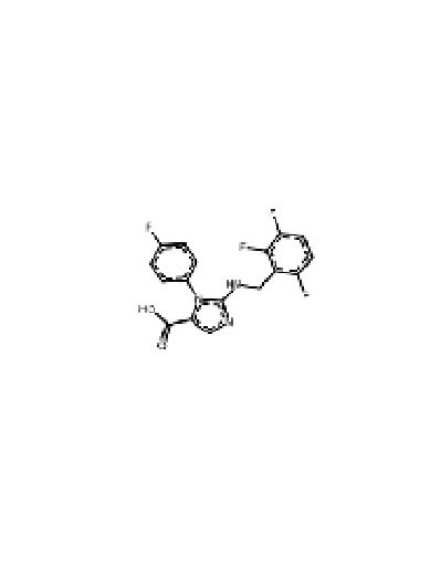 O=C(O)c1cnc(NCc2c(F)ccc(F)c2F)n1-c1ccc(F)cc1